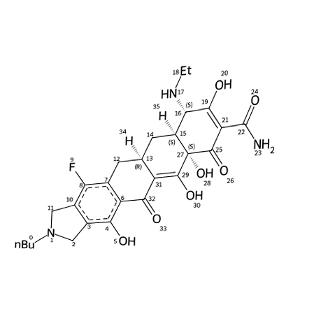 CCCCN1Cc2c(O)c3c(c(F)c2C1)C[C@H]1C[C@H]2[C@H](NCC)C(O)=C(C(N)=O)C(=O)[C@@]2(O)C(O)=C1C3=O